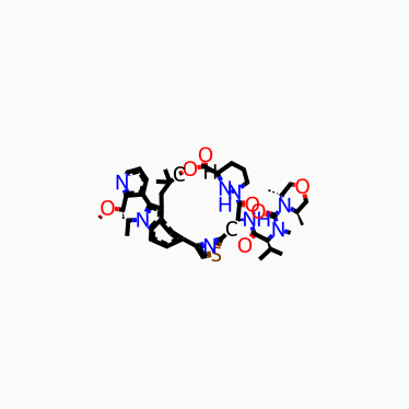 CCn1c(-c2cccnc2[C@H](C)OC)c2c3cc(ccc31)-c1csc(n1)C[C@H](NC(=O)[C@H](C(C)C)N(C)C(=O)N1[C@H](C)COC[C@H]1C)C(=O)N1CCC[C@H](N1)C(=O)OCC(C)(C)C2